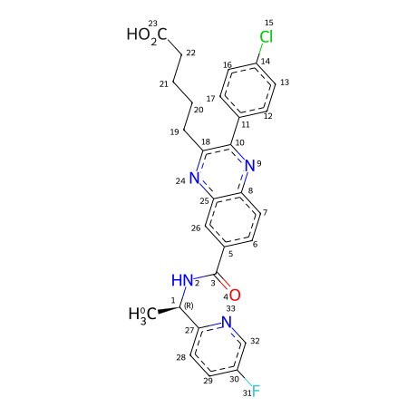 C[C@@H](NC(=O)c1ccc2nc(-c3ccc(Cl)cc3)c(CCCCC(=O)O)nc2c1)c1ccc(F)cn1